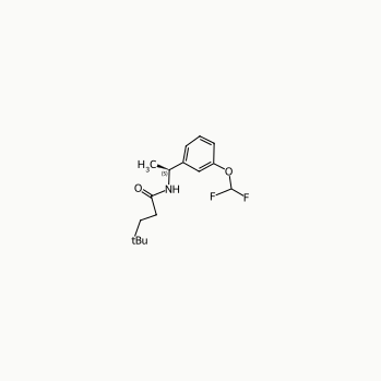 C[C@H](NC(=O)CCC(C)(C)C)c1cccc(OC(F)F)c1